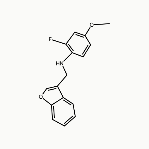 COc1ccc(NCc2coc3ccccc23)c(F)c1